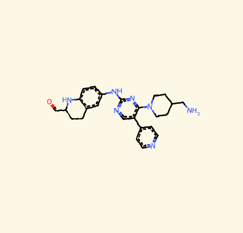 NCC1CCN(c2nc(Nc3ccc4c(c3)CCC(C=O)N4)ncc2-c2ccncc2)CC1